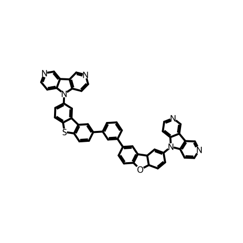 C1=CC2Oc3ccc(-c4cccc(-c5ccc6sc7ccc(-n8c9ccncc9c9cnccc98)cc7c6c5)c4)cc3C2C=C1n1c2ccncc2c2cnccc21